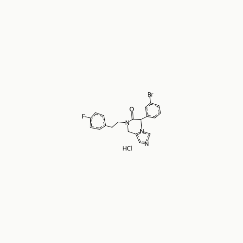 Cl.O=C1C(c2cccc(Br)c2)n2cncc2CN1CCc1ccc(F)cc1